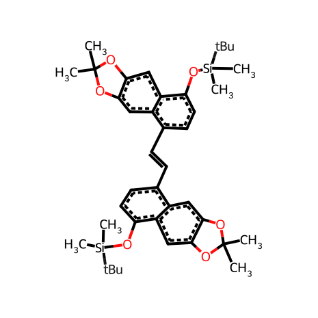 CC1(C)Oc2cc3c(/C=C/c4ccc(O[Si](C)(C)C(C)(C)C)c5cc6c(cc45)OC(C)(C)O6)ccc(O[Si](C)(C)C(C)(C)C)c3cc2O1